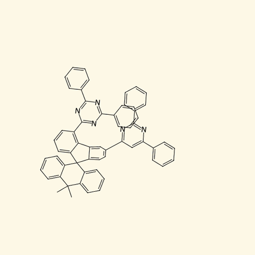 CC1(C)c2ccccc2C2(c3ccc(-c4cc(-c5ccccc5)nc(-c5ccccc5)n4)cc3-c3c(-c4nc(-c5ccccc5)nc(-c5ccccc5)n4)cccc32)c2ccccc21